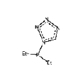 CCP(CC)n1cnnn1